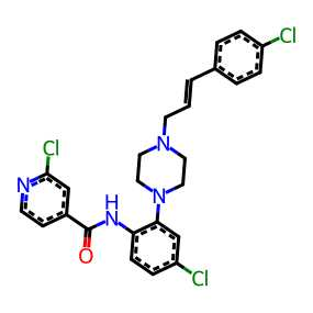 O=C(Nc1ccc(Cl)cc1N1CCN(CC=Cc2ccc(Cl)cc2)CC1)c1ccnc(Cl)c1